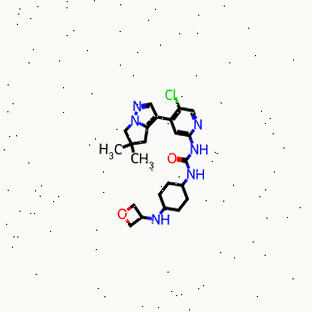 CC1(C)Cc2c(-c3cc(NC(=O)NC4CCC(NC5COC5)CC4)ncc3Cl)cnn2C1